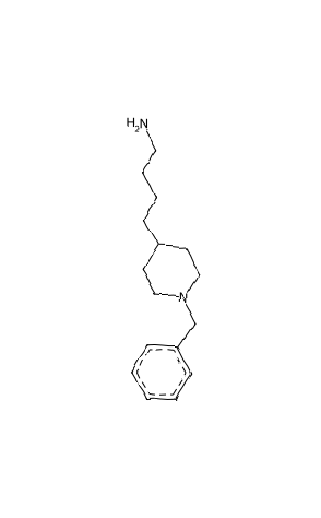 NCCCCC1CCN(Cc2ccccc2)CC1